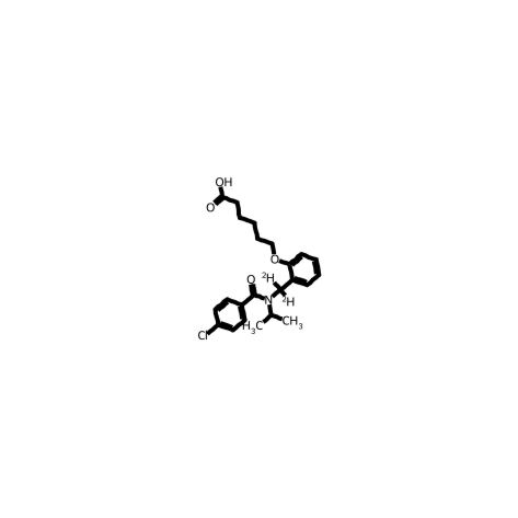 [2H]C([2H])(c1ccccc1OCCCCCC(=O)O)N(C(=O)c1ccc(Cl)cc1)C(C)C